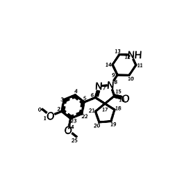 COc1ccc(C2=NN(C3CCNCC3)C(=O)C23CCCC3)cc1OC